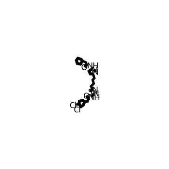 O=C(Cc1ccccc1)Nc1ccc(CCCCc2nnc(NC(=O)Cc3ccc(Cl)c(Cl)c3)s2)nn1